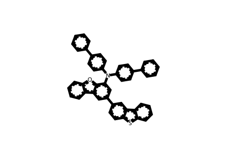 c1ccc(-c2ccc(N(c3ccc(-c4ccccc4)cc3)c3cc(-c4ccc5sc6ccccc6c5c4)cc4c3oc3ccccc34)cc2)cc1